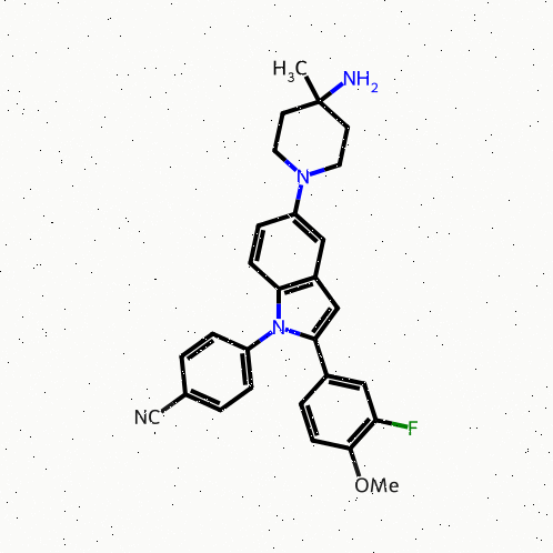 COc1ccc(-c2cc3cc(N4CCC(C)(N)CC4)ccc3n2-c2ccc(C#N)cc2)cc1F